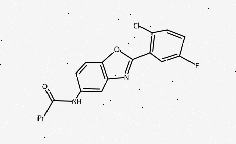 CC(C)C(=O)Nc1ccc2oc(-c3cc(F)ccc3Cl)nc2c1